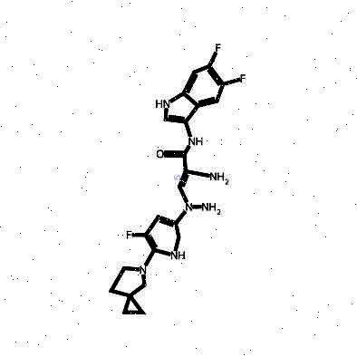 N/C(=C\N(N)C1=CC(F)=C(N2CCC3(CC3)C2)NC1)C(=O)Nc1c[nH]c2cc(F)c(F)cc12